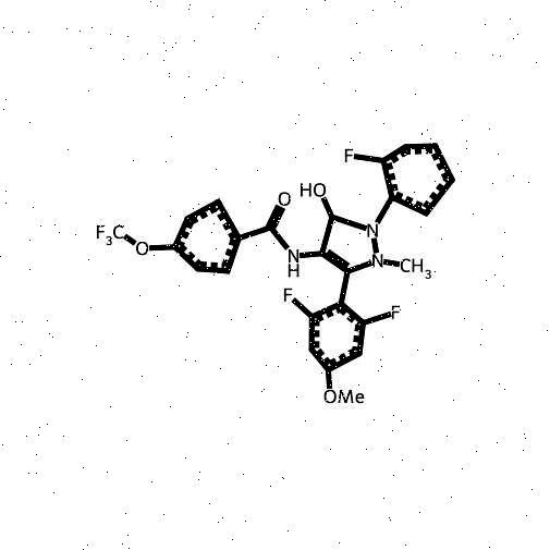 COc1cc(F)c(C2=C(NC(=O)c3ccc(OC(F)(F)F)cc3)C(O)N(c3ccccc3F)N2C)c(F)c1